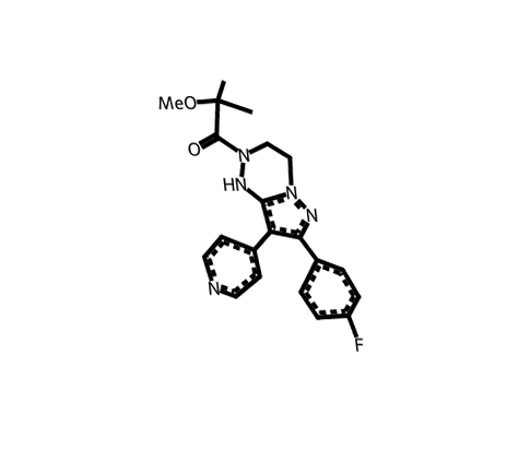 COC(C)(C)C(=O)N1CCn2nc(-c3ccc(F)cc3)c(-c3ccncc3)c2N1